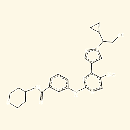 COc1cnc(Nc2cccc(C(=O)NC3CCOCC3)c2)nc1-c1cnn(C(CC#N)C2CC2)c1